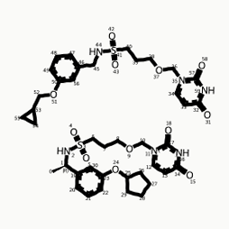 C[C@@H](NS(=O)(=O)CCCOCn1ccc(=O)[nH]c1=O)c1cccc(OC2CCCC2)c1.O=c1ccn(COCCCS(=O)(=O)NCc2cccc(OCC3CC3)c2)c(=O)[nH]1